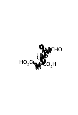 O=CNc1nc(C(=NOc2ccccc2)C(=O)NC2C(=O)N3CC(CSc4nnnn4C=CCC(=O)O)(C(=O)O)CS[C@H]23)cs1